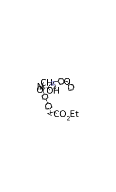 CCOC(=O)CC1(c2ccc(-c3ccc(-c4onc(C)c4C(O)C/C=C/c4ccc(Oc5ccccc5)cc4)cc3)cc2)CC1